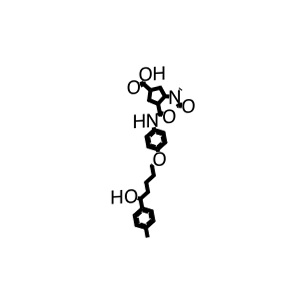 Cc1ccc(C(O)CCCCOc2ccc(NC(=O)C3CC(C(=O)O)CC3N(C)C=O)cc2)cc1